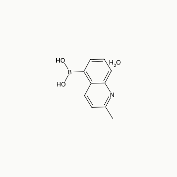 Cc1ccc2c(B(O)O)cccc2n1.O